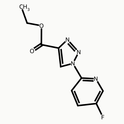 CCOC(=O)c1cn(-c2ccc(F)cn2)nn1